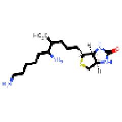 NCCCCCC(N)C(CCC[C@@H]1SC[C@@H]2NC(=O)N[C@@H]21)C(=O)O